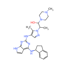 Cc1c(Nc2nc(N[C@H]3CCc4ccccc43)c3cc[nH]c3n2)cnn1C(C)C(O)N1CCN(C)CC1